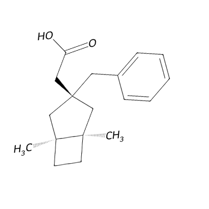 C[C@@]12CC[C@]1(C)C[C@@](CC(=O)O)(Cc1ccccc1)C2